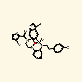 Cc1csc2ccc(S(=O)(=O)N(CCc3ccc(Cl)cc3)c3ccccc3N3CCN(C(=O)c4sccc4Br)CC3)cc12